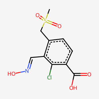 CS(=O)(=O)Cc1ccc(C(=O)O)c(Cl)c1C=NO